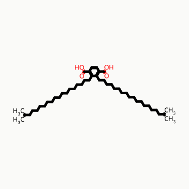 CC(C)CCCCCCCCCCCCCCCCCc1c(C(=O)O)ccc(C(=O)O)c1CCCCCCCCCCCCCCCCCC(C)C